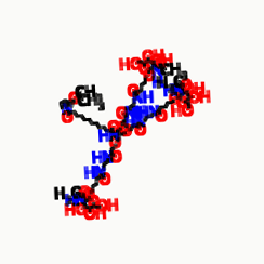 CC(=O)NC1C(OCCCCC(=O)NCCCNC(=O)CCOCC(COCCC(=O)NCCCNC(=O)CCCCOC2OC(CO)C(O)C(O)C2NC(C)=O)(COCCC(=O)NCCCNC(=O)CCCCOC2OC(CO)C(O)C(O)C2NC(C)=O)NC(=O)CCCCCCCCCCC(=O)N2CCC[C@H]2COC(C)C)OC(CO)C(O)C1O